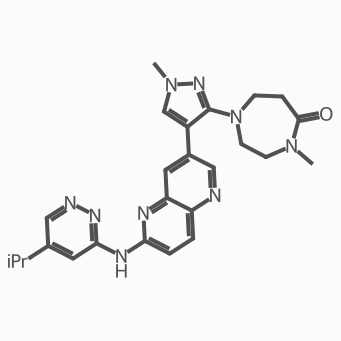 CC(C)c1cnnc(Nc2ccc3ncc(-c4cn(C)nc4N4CCC(=O)N(C)CC4)cc3n2)c1